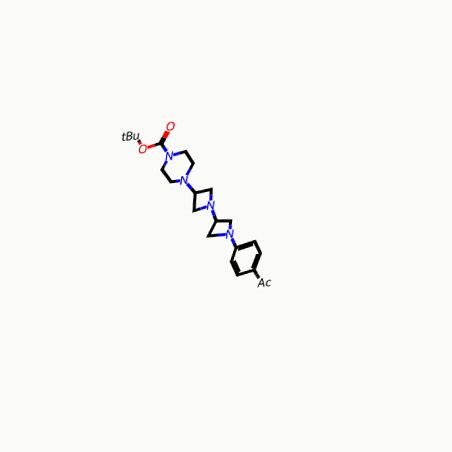 CC(=O)c1ccc(N2CC(N3CC(N4CCN(C(=O)OC(C)(C)C)CC4)C3)C2)cc1